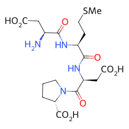 CSCC[C@H](NC(=O)[C@@H](N)CC(=O)O)C(=O)N[C@@H](CC(=O)O)C(=O)N1CCC[C@H]1C(=O)O